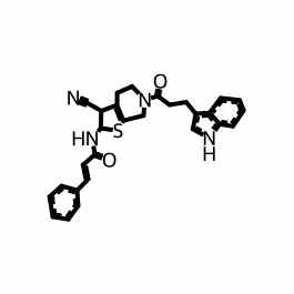 N#CC1C2=C(CN(C(=O)CCc3c[nH]c4ccccc34)CC2)SC1NC(=O)/C=C/c1ccccc1